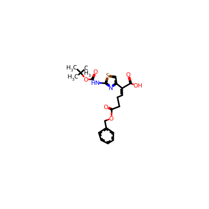 CC(C)(C)OC(=O)Nc1nc(/C(=C\CCC(=O)OCc2ccccc2)C(=O)O)cs1